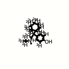 [2H]c1cc(C([2H])(C([2H])([2H])N(C)C([2H])([2H])[2H])C2(O)C([2H])([2H])C([2H])([2H])C([2H])([2H])C([2H])([2H])C2([2H])[2H])cc([2H])c1O